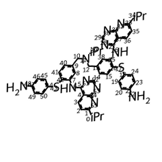 CC(C)c1ccc2c(Nc3cc(CN(Cc4ccc(Sc5ccc(N)cc5)c(Nc5ncnc6nc(C(C)C)ccc56)c4)C(C)C)ccc3Sc3ccc(N)cc3)ncnc2n1